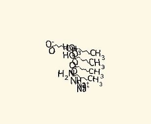 CCCCCC(=O)O.CCCCCC(=O)O.CCCCCC(=O)[O-].CCCCCC(=O)[O-].CCCCCC(N)N.[Na+].[Na+]